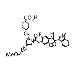 COCC1CN([C@H]2C[C@@H](CO[C@H]3CC[C@H](C(=O)O)CC3)N(C(=O)Cc3cc(Cl)c(NC(=O)c4cn(C)c5c4C=CCC5)cc3F)C2)C1